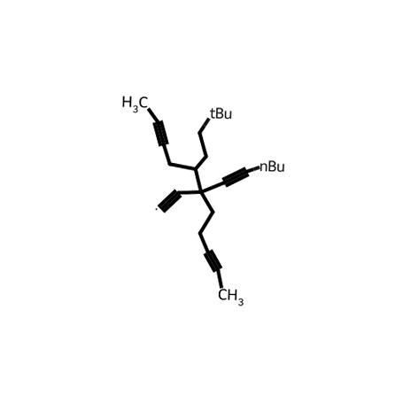 [C]#CC(C#CCCCC)(CCC#CC)C(CC#CC)CCC(C)(C)C